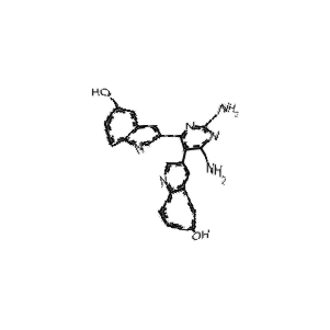 Nc1nc(N)c(-c2cnc3ccc(O)cc3c2)c(-c2cnc3ccc(O)cc3c2)n1